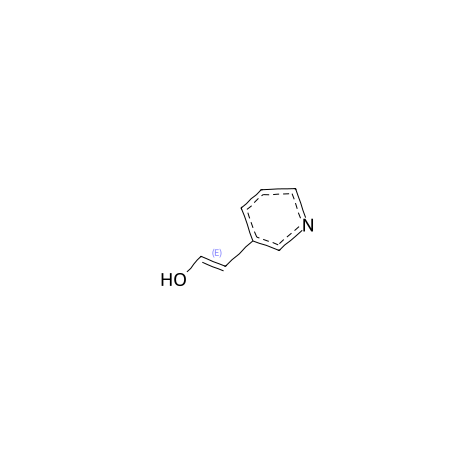 O/C=C/c1cccnc1